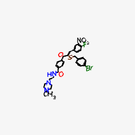 CN1CCN(CCNC(=O)c2ccc(C(=O)C(=Cc3ccc(F)c([N+](=O)[O-])c3)SCc3ccc(Br)cc3)cc2)CC1